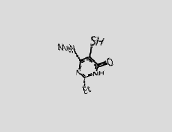 CCc1nc(NC)c(S)c(=O)[nH]1